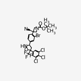 CC(C)(C)OC(=O)N1CC(C#N)(c2ccc(C3CC(c4cc(Cl)c(Cl)c(Cl)c4)(C(F)(F)F)ON3)cc2Br)C1